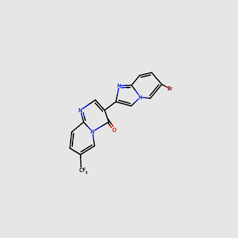 O=c1c(-c2cn3cc(Br)ccc3n2)cnc2ccc(C(F)(F)F)cn12